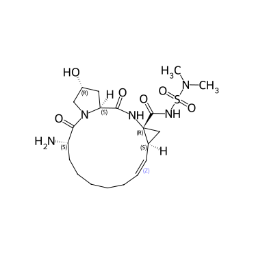 CN(C)S(=O)(=O)NC(=O)[C@@]12C[C@H]1/C=C\CCCCC[C@H](N)C(=O)N1C[C@H](O)C[C@H]1C(=O)N2